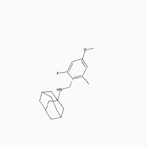 COc1cc(C)c(CNC23CC4CC(CC(C4)C2)C3)c(F)c1